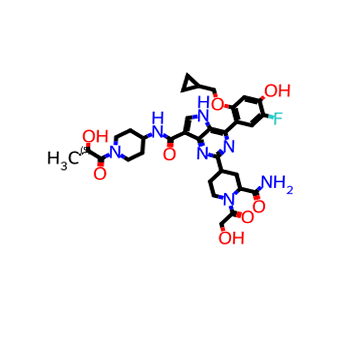 C[C@H](O)C(=O)N1CCC(NC(=O)c2c[nH]c3c(-c4cc(F)c(O)cc4OCC4CC4)nc(C4CCN(C(=O)CO)C(C(N)=O)C4)nc23)CC1